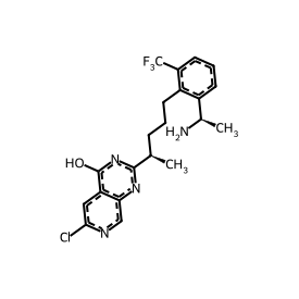 C[C@H](CCCc1c([C@@H](C)N)cccc1C(F)(F)F)c1nc(O)c2cc(Cl)ncc2n1